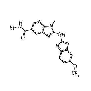 CCNC(=O)c1cnc2c(c1)nc(Nc1nc3ccc(OC(F)(F)F)cc3s1)n2C